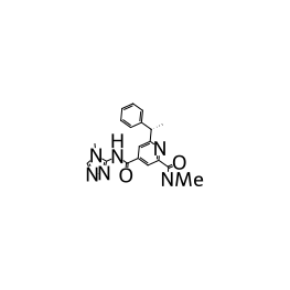 CNC(=O)c1cc(C(=O)Nc2nncn2C)cc([C@@H](C)c2ccccc2)n1